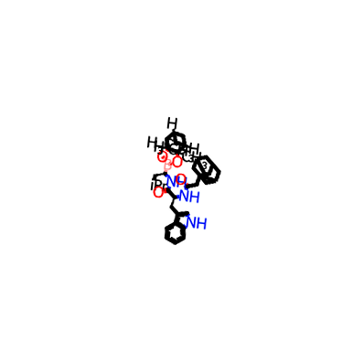 CC(C)C[C@H](NC(=O)[C@H](Cc1c[nH]c2ccccc12)NC(=O)CC12CC3CC(CC(C3)C1)C2)B1O[C@@H]2C[C@@H]3C[C@@H](C3(C)C)[C@]2(C)O1